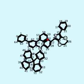 c1ccc(-c2ccc(N(c3ccc(-c4sc(-c5ccccc5)c5c4OCCO5)cc3)c3ccc4c(c3)C(c3ccccc3)(c3ccccc3)c3ccccc3-4)c(-c3ccccc3)c2)cc1